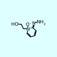 NN=C1C=CC=C[N+]1([O-])CCO